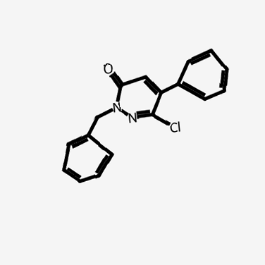 O=c1cc(-c2ccccc2)c(Cl)nn1Cc1ccccc1